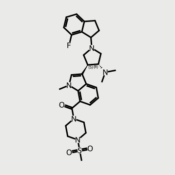 CN(C)[C@H]1CN(C2CCc3cccc(F)c32)C[C@@H]1c1cn(C)c2c(C(=O)N3CCN(S(C)(=O)=O)CC3)cccc12